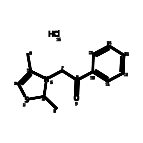 CC1=CSC(C)N1CC(=O)c1ccccc1.Cl